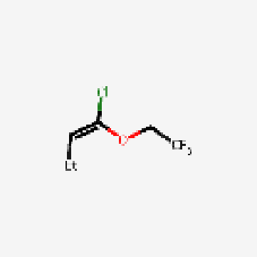 CC/C=C(/Cl)OCC(F)(F)F